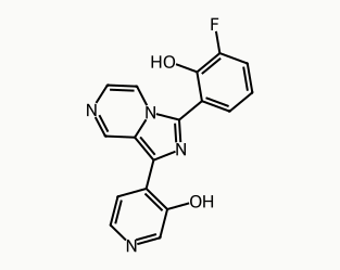 Oc1cnccc1-c1nc(-c2cccc(F)c2O)n2ccncc12